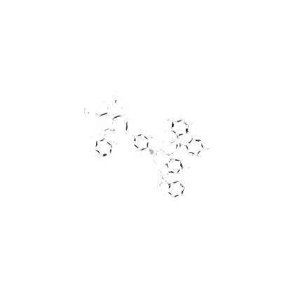 CC1(C)CC(/C=C/c2ccc(N(CCO[Si](c3ccccc3)(c3ccccc3)C(C)(C)C)CCO[Si](c3ccccc3)(c3ccccc3)C(C)(C)C)cc2)=C(SCc2ccccc2)C(=C/C#N)/C1